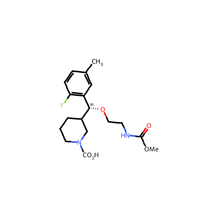 COC(=O)NCCO[C@@H](c1cc(C)ccc1F)C1CCCN(C(=O)O)C1